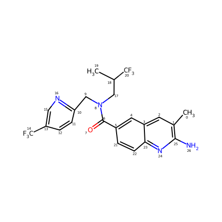 Cc1cc2cc(C(=O)N(Cc3ccc(C(F)(F)F)cn3)CC(C)C(F)(F)F)ccc2nc1N